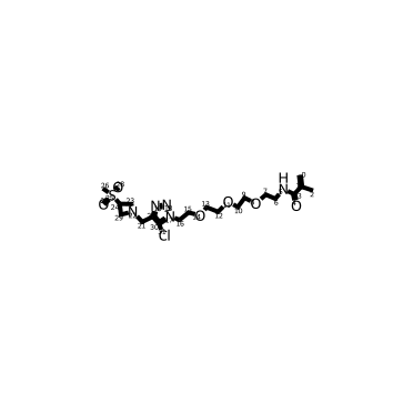 C=C(C)C(=O)NCCOCCOCCOCCn1nnc(CN2CC(S(C)(=O)=O)C2)c1Cl